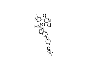 COc1cnc(Cl)cc1-c1cc(C)ncc1C(=O)Nc1ccc2c(n1)CC[SH](N1CCC(CO[Si](C)(C)C(C)(C)C)CC1)C2